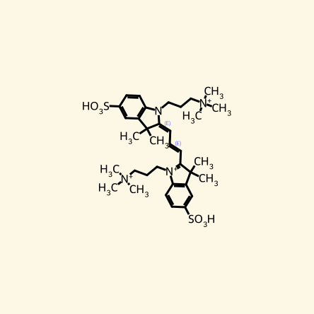 CC1(C)C(/C=C/C=C2/N(CCC[N+](C)(C)C)c3ccc(S(=O)(=O)O)cc3C2(C)C)=[N+](CCC[N+](C)(C)C)c2ccc(S(=O)(=O)O)cc21